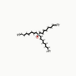 CC(C)CCCCCCC[Si]([O])(CCCCCCCC(C)C)CCCCCCCC(C)C